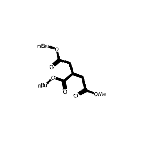 CCCCOC(=O)CC(CC(=O)OC)C(=O)OCCCC